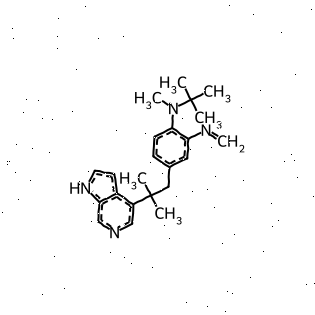 C=Nc1cc(CC(C)(C)c2cncc3[nH]ccc23)ccc1N(C)C(C)(C)C